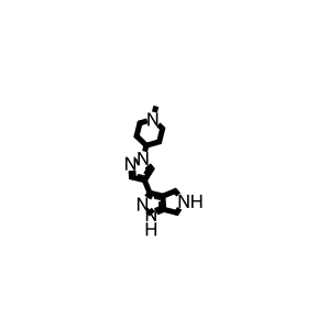 CN1CCC(n2cc(-c3n[nH]c4c3CNC4)cn2)CC1